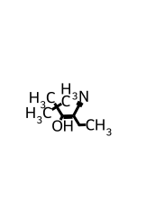 CC/C(C#N)=C(\O)C(C)(C)C